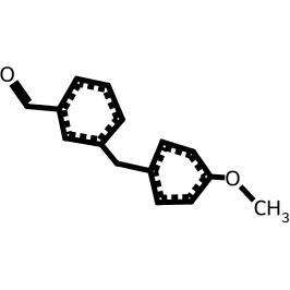 COc1ccc(Cc2cccc(C=O)c2)cc1